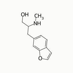 CNC(CO)Cc1ccc2ccoc2c1